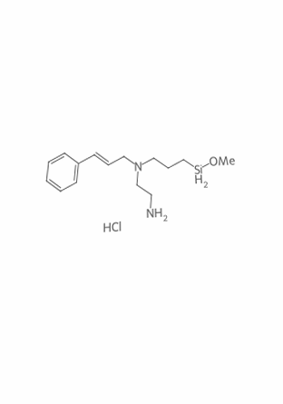 CO[SiH2]CCCN(CC=Cc1ccccc1)CCN.Cl